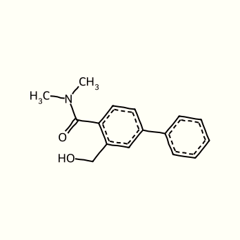 CN(C)C(=O)c1ccc(-c2ccccc2)cc1CO